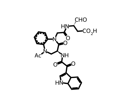 CC(=O)N1C[C@H](NC(=O)C(=O)C2=CNC3C=CC=CC23)C(=O)N(CC(=O)N[C@H](C=O)CC(=O)O)c2ccccc21